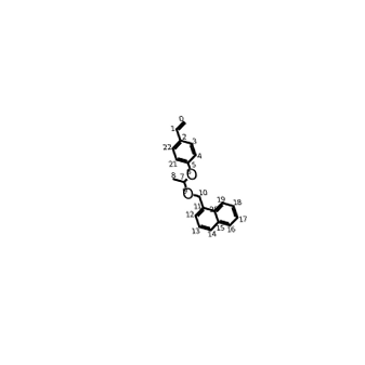 C=Cc1ccc(OC(C)OCc2cccc3ccccc23)cc1